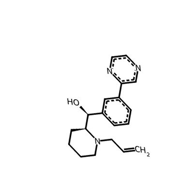 C=CCN1CCCC[C@H]1[C@@H](O)c1cccc(-c2cnccn2)c1